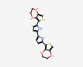 c1cc(-c2scc3c2OCCO3)[nH]c1-c1ccc(-c2scc3c2OCCO3)[nH]1